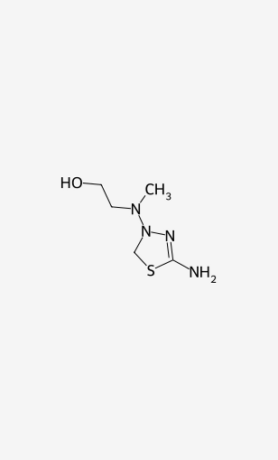 CN(CCO)N1CSC(N)=N1